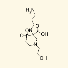 NCCCCC1(C(=O)O)CN(CCO)CCP1(=O)O